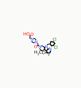 CC1(C)CN(C(=O)CN2CCN(CC(=O)O)CC2)Cc2c1c1cccnc1n2Cc1cc(Cl)cc(Cl)c1